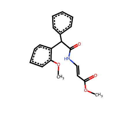 COC(=O)C=CNC(=O)C(c1ccccc1)c1ccccc1OC